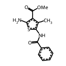 COC(=O)c1c(N)sc(NC(=O)c2ccccc2)c1C